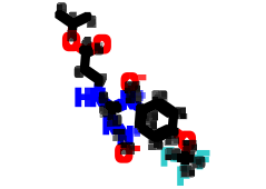 CC(C)OC(=O)CCNc1n[n+]([O-])c2cc(OC(F)(F)F)ccc2[n+]1[O-]